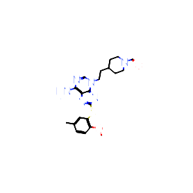 COc1ccc(C)cc1Sc1nc2c(N)ncn(CCC3CCN(C=O)CC3)c-2n1